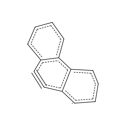 c1c2[c]cccc2c2ccccc2c#1